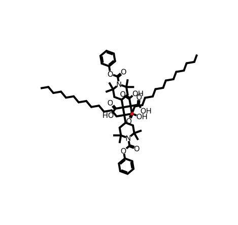 CCCCCCCCCCCCCCC(CCCCCCCCCCCCC)(C1CC(C)(C)N(C(=O)Oc2ccccc2)C(C)(C)C1)C(C(=O)O)(C1CC(C)(C)N(C(=O)Oc2ccccc2)C(C)(C)C1)C(C(=O)O)(C(=O)O)C(=O)O